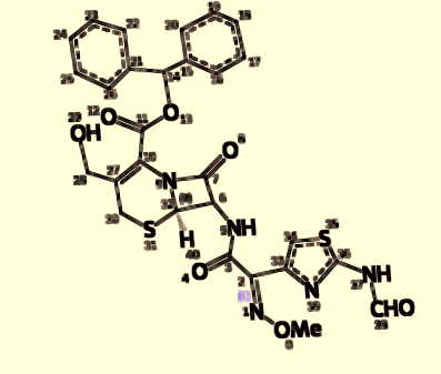 CO/N=C(/C(=O)NC1C(=O)N2C(C(=O)OC(c3ccccc3)c3ccccc3)=C(CO)CS[C@H]12)c1csc(NC=O)n1